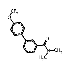 CN(C)C(=O)c1cccc(-c2ccc(OC(F)(F)F)cc2)c1